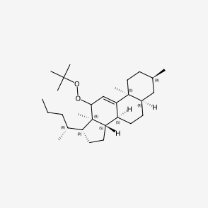 CCC[C@@H](C)[C@H]1CC[C@H]2[C@@H]3CC[C@@H]4C[C@H](C)CC[C@]4(C)C3=CC(OOC(C)(C)C)[C@]12C